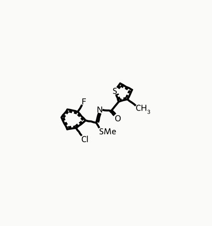 CSC(=NC(=O)c1sccc1C)c1c(F)cccc1Cl